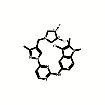 Cc1nn(-c2ccnc(Nc3ccc4c(c3)c(Cl)c(C)n4C)n2)cc1CN1C[C@@H](F)[C@@H](O)C1